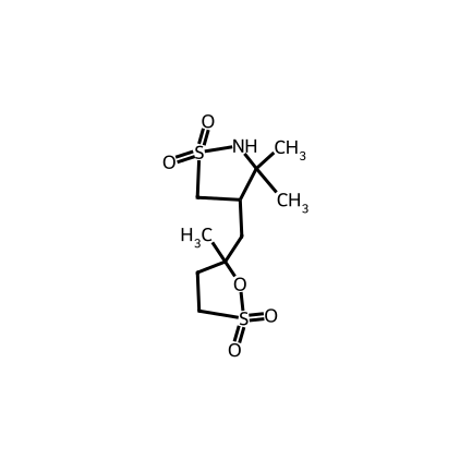 CC1(CC2CS(=O)(=O)NC2(C)C)CCS(=O)(=O)O1